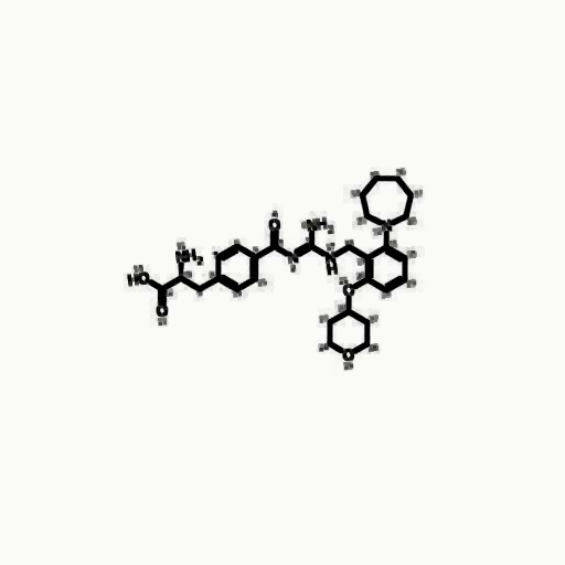 N/C(=N\C(=O)c1ccc(C[C@H](N)C(=O)O)cc1)NCc1c(OC2CCOCC2)cccc1N1CCCCCC1